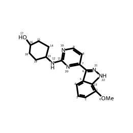 COc1cccc2c(-c3ccnc(NC4CCC(O)CC4)n3)n[nH]c12